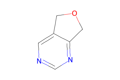 c1ncc2c(n1)COC2